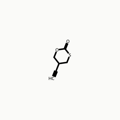 C#CC1COC(=O)SC1